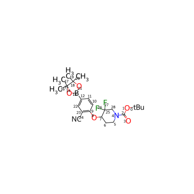 CC(C)(C)OC(=O)N1CCC(Oc2ccc(B3OC(C)(C)C(C)(C)O3)cc2C#N)C(F)(F)C1